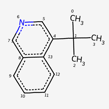 CC(C)(C)c1cn[c]c2ccccc12